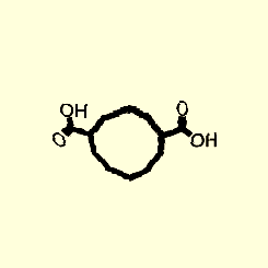 O=C(O)C1CCCCCC(C(=O)O)CCC1